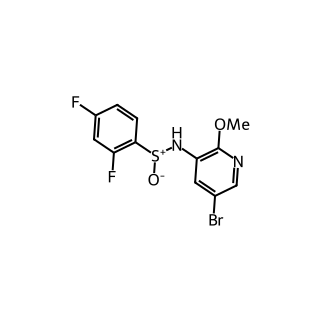 COc1ncc(Br)cc1N[S+]([O-])c1ccc(F)cc1F